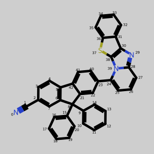 N#Cc1ccc2c(c1)C(c1ccccc1)(c1ccccc1)c1cc(-c3cccc4nc5c6ccccc6sc5n34)ccc1-2